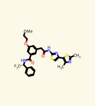 COCCOc1cc(CC(=O)Nc2nc(-c3sc(C)nc3C)cs2)cc(C(=O)N[C@H](c2ccccc2)C(F)(F)F)c1